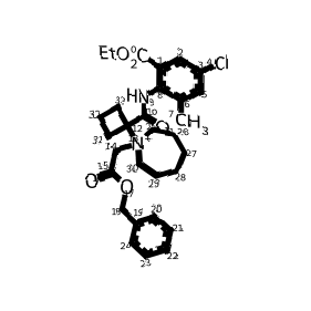 CCOC(=O)c1cc(Cl)cc(C)c1NC(=O)C1([N+]2(CC(=O)OCc3ccccc3)CCCCCC2)CCC1